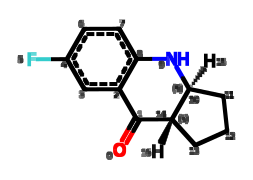 O=C1c2cc(F)ccc2N[C@H]2CCC[C@H]12